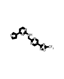 FC(F)(F)c1nc(-c2cnc(CNc3nccc(-c4ccsc4)n3)nc2)no1